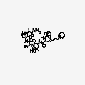 CCCC(=O)N(C)[C@H](CSCCCN1CCCCC1)C(=O)N(C)[C@@H](CC(C)(C)O)C(=O)N[C@H](C(=O)N(C)[C@@H](CC(C)C)C(=O)N[C@H](C)C(N)=O)C(C)C